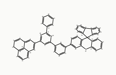 C1=Cc2cc(-c3cc(-c4cccc(-c5ccc6c(c5)Sc5ccccc5C65c6ccccc6-c6ccccc65)c4)nc(-c4ccccc4)n3)cc3cccc(c23)C1